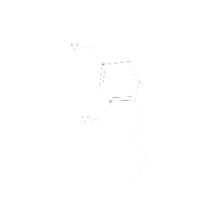 COc1ccc(OCCI)c(OC)c1